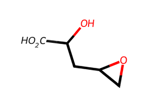 O=C(O)C(O)CC1CO1